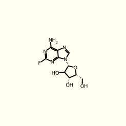 Nc1nc(F)nc2c1ncn2[C@@H]1O[C@H](CO)[C@H](O)C1O